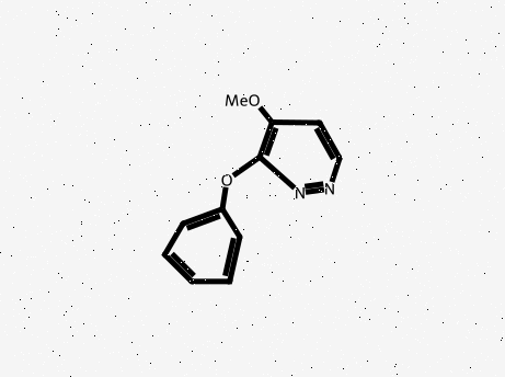 COc1ccnnc1Oc1ccccc1